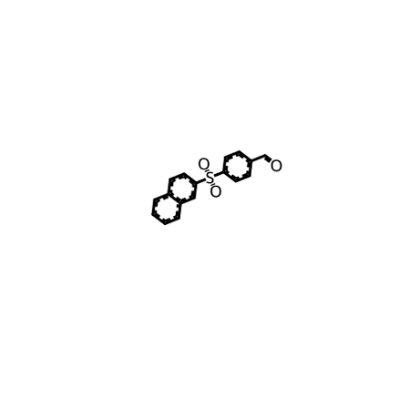 O=Cc1ccc(S(=O)(=O)c2ccc3ccccc3c2)cc1